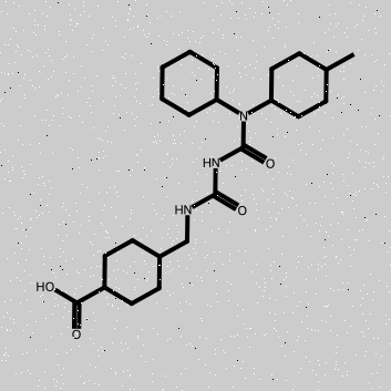 CC1CCC(N(C(=O)NC(=O)NCC2CCC(C(=O)O)CC2)C2CCCCC2)CC1